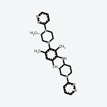 Cc1cc(C)c(N2CCN(c3cccnn3)[C@@H](C)C2)c(C)c1NC1CCN(c2cccnn2)CC1